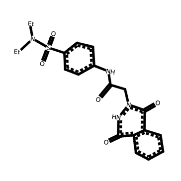 CCN(CC)S(=O)(=O)c1ccc(NC(=O)Cn2[nH]c(=O)c3ccccc3c2=O)cc1